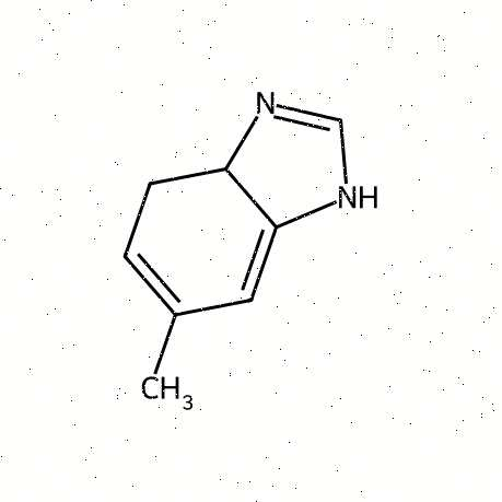 CC1=CCC2N=CNC2=C1